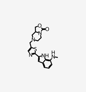 CNc1cccc2cc(-c3ncc(CN4CCN5C(=O)OCC5C4)s3)[nH]c12